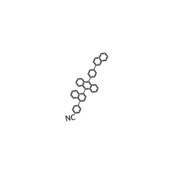 N#Cc1ccc(-c2ccc(-c3c4ccccc4c(-c4ccc(-c5ccc6ccccc6c5)cc4)c4ccccc34)c3ccccc23)cc1